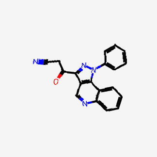 N#CCC(=O)c1nn(-c2ccccc2)c2c1cnc1ccccc12